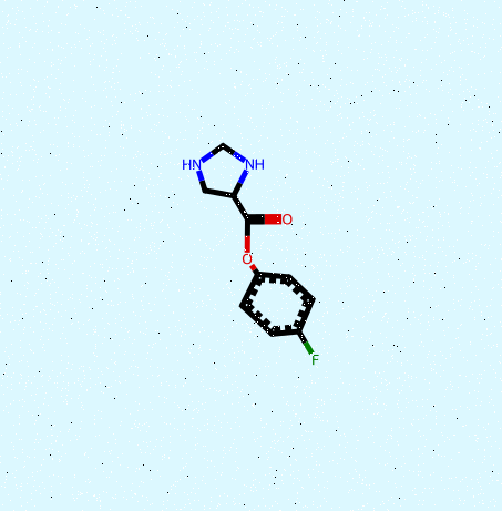 O=C(Oc1ccc(F)cc1)C1CNCN1